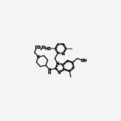 CCOC(=O)CN1CCC(Nc2nc3c(C)cc(CO)cc3n2Cc2nc(C)ccc2O)CC1